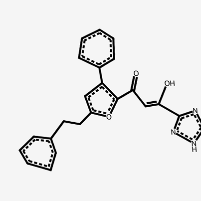 O=C(C=C(O)c1nc[nH]n1)c1oc(CCc2ccccc2)cc1-c1ccccc1